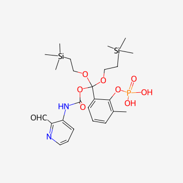 Cc1cccc(C(OCC[Si](C)(C)C)(OCC[Si](C)(C)C)OC(=O)Nc2cccnc2C=O)c1OP(=O)(O)O